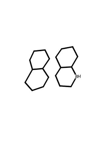 B1CCCC2CCCCC12.C1CCC2CCCCC2C1